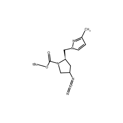 Cc1ccn(C[C@H]2CC(N=[N+]=[N-])CN2C(=O)OC(C)(C)C)n1